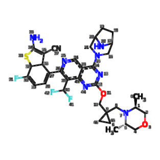 C[C@H]1COC[C@H](C)N1CC1(COc2nc(N3CC4CCC(C3)N4)c3cnc(C4=CC=C(F)C5SC(N)=C(C#N)C45)c(C(F)F)c3n2)CC1